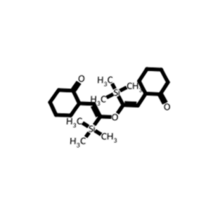 C[Si](C)(C)C(=CC1CCCCC1=O)OC(=CC1CCCCC1=O)[Si](C)(C)C